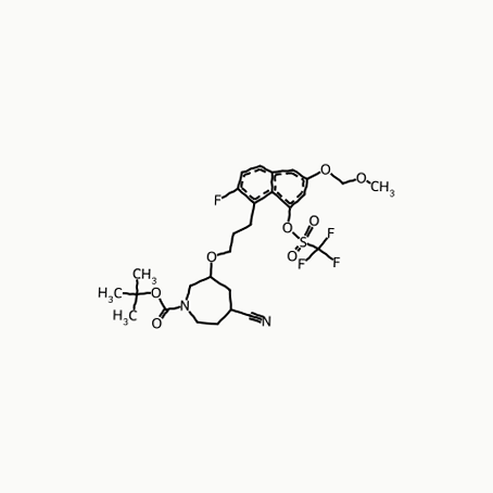 COCOc1cc(OS(=O)(=O)C(F)(F)F)c2c(CCCOC3CC(C#N)CCN(C(=O)OC(C)(C)C)C3)c(F)ccc2c1